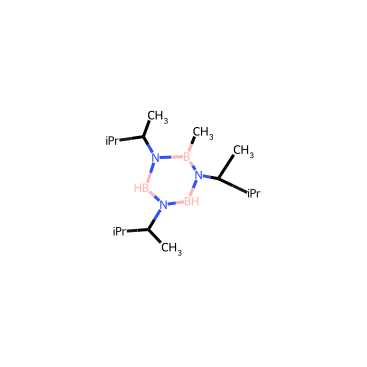 CB1N(C(C)C(C)C)BN(C(C)C(C)C)BN1C(C)C(C)C